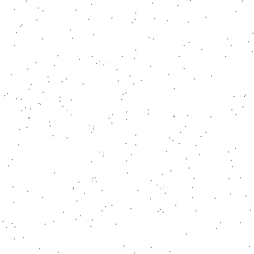 Nc1snnc1-c1ccccc1-c1nnsc1N